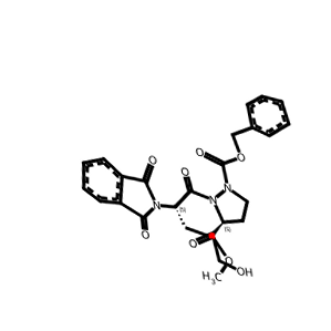 COC(=O)[C@@H]1CCN(C(=O)OCc2ccccc2)N1C(=O)[C@H](CCCO)N1C(=O)c2ccccc2C1=O